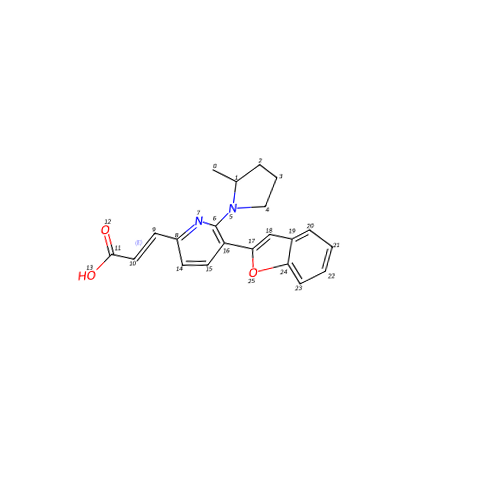 CC1CCCN1c1nc(/C=C/C(=O)O)ccc1-c1cc2ccccc2o1